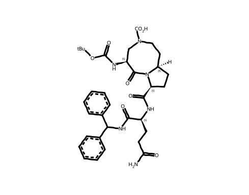 CC(C)(C)OC(=O)N[C@H]1CN(C(=O)O)CC[C@H]2CC[C@@H](C(=O)N[C@@H](CCC(N)=O)C(=O)NC(c3ccccc3)c3ccccc3)N2C1=O